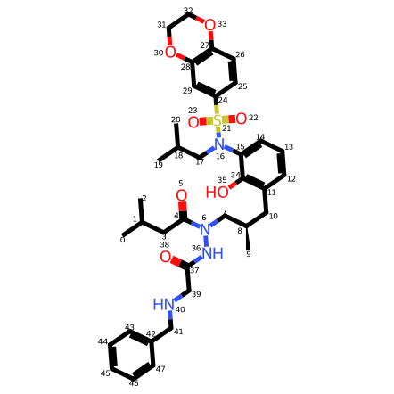 CC(C)CC(=O)N(C[C@H](C)Cc1cccc(N(CC(C)C)S(=O)(=O)c2ccc3c(c2)OCCO3)c1O)NC(=O)CNCc1ccccc1